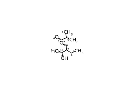 CC(C)C=O.CCC(C=O)C(O)O